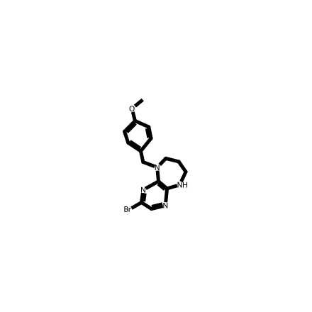 COc1ccc(CN2CCCNc3ncc(Br)nc32)cc1